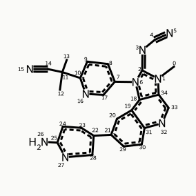 Cn1c(=NC#N)n(-c2ccc(C(C)(C)C#N)nc2)c2c3cc(-c4ccc(N)nc4)ccc3ncc21